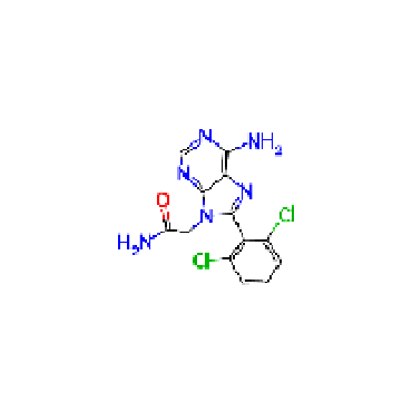 NC(=O)Cn1c(-c2c(Cl)cccc2Cl)nc2c(N)ncnc21